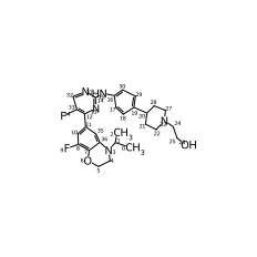 CC(C)N1CCOc2c(F)cc(-c3nc(Nc4ccc(C5CCN(CCO)CC5)cc4)ncc3F)cc21